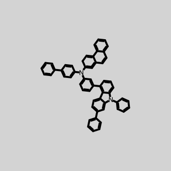 C1=C(N(c2ccc(-c3ccccc3)cc2)c2cccc(-c3cccc4c3c3ccc(-c5ccccc5)cc3n4-c3ccccc3)c2)CC=c2c=1ccc1ccccc21